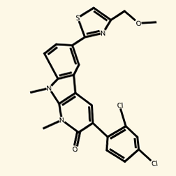 COCc1csc(-c2ccc3c(c2)c2cc(-c4ccc(Cl)cc4Cl)c(=O)n(C)c2n3C)n1